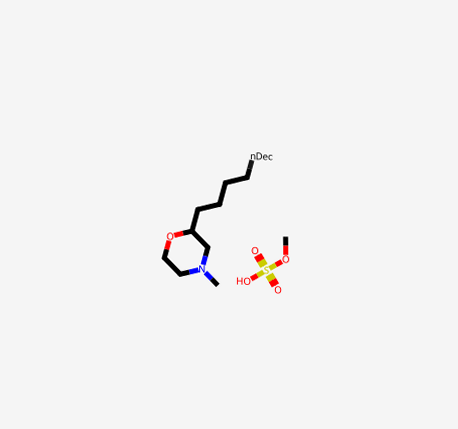 CCCCCCCCCCCCCCC1CN(C)CCO1.COS(=O)(=O)O